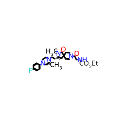 CCOC(=O)NCC(=O)N1CCC2(CC1)C[C@H](CCN1CCN(c3ccc(F)cc3)C[C@H]1C)N(C)C2=O